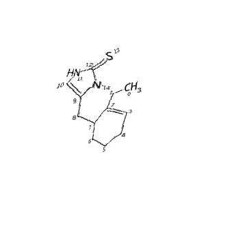 CCC1=CCCCC1CC1=CNC(=S)[N]1